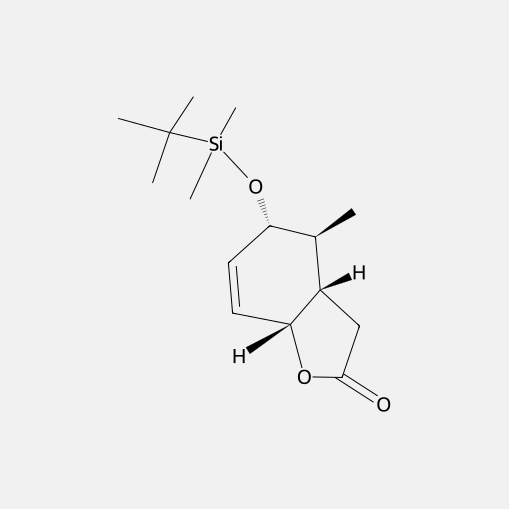 C[C@H]1[C@@H]2CC(=O)O[C@@H]2C=C[C@@H]1O[Si](C)(C)C(C)(C)C